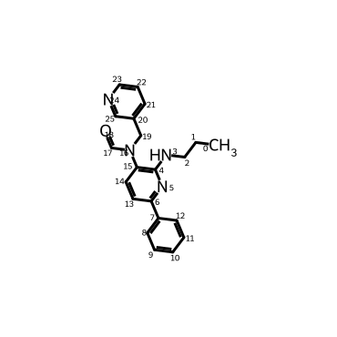 CCCNc1nc(-c2ccccc2)ccc1N(C=O)Cc1cccnc1